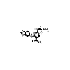 CC(Nc1ncc(C(N)=O)c(Nc2ccc3scnc3c2)n1)C(N)=O